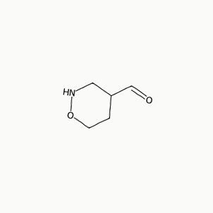 O=CC1CCONC1